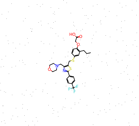 CCCc1cc(SCc2sc(-c3ccc(C(F)(F)F)cc3)nc2CN2CCOCC2)ccc1OCC(=O)O